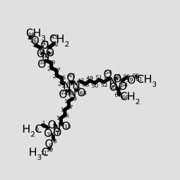 C=CC(=O)ON(OCCOCC)C(=O)CCCCCCn1c(=O)n(CCCCCCC(=O)N(OCCOCC)OC(=O)C=C)c(=O)n(CCCCCCC(=O)N(OCCOCC)OC(=O)C=C)c1=O